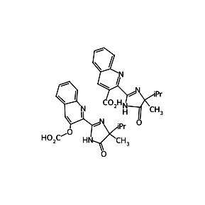 CC(C)C1(C)N=C(c2nc3ccccc3cc2C(=O)O)NC1=O.CC(C)C1(C)N=C(c2nc3ccccc3cc2OC(=O)O)NC1=O